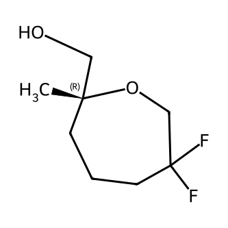 C[C@]1(CO)CCCC(F)(F)CO1